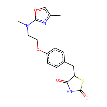 Cc1coc(N(C)CCOc2ccc(CC3SC(=O)NC3=O)cc2)n1